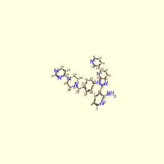 Nc1ncccc1-c1nc2ccc(-c3cccnc3)nc2n1-c1ccc(CN2CCN(c3ccncn3)CC2)cc1